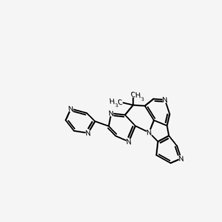 CC1(C)c2nc(-c3cnccn3)cnc2-n2c3ccncc3c3cncc1c32